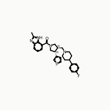 Cc1nc2cccc(C(=O)N3C[C@@H](CN4CCC(c5ccc(F)cc5)CC4)[C@H](c4ccsc4)C3)c2[nH]1